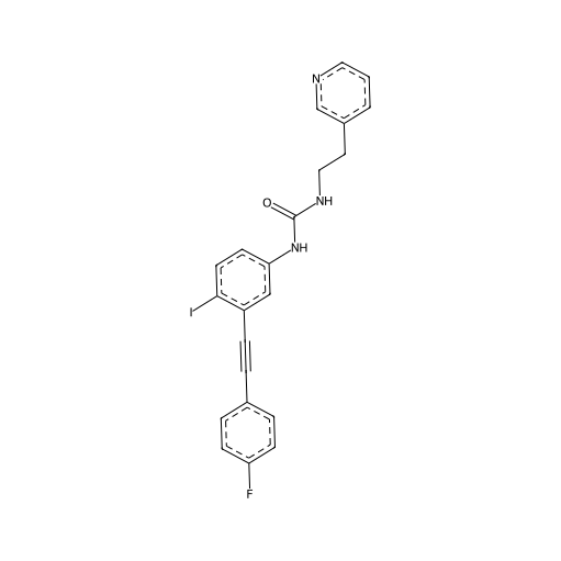 O=C(NCCc1cccnc1)Nc1ccc(I)c(C#Cc2ccc(F)cc2)c1